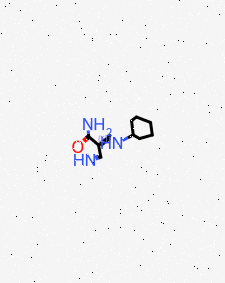 N=C/C(=C\NC1CCCCC1)C(N)=O